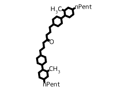 CCCCCC1CCC(C2CCC(CCCC(=O)CCCC3CCC(C4CCC(CCCCC)CC4C)CC3)CC2)C(C)C1